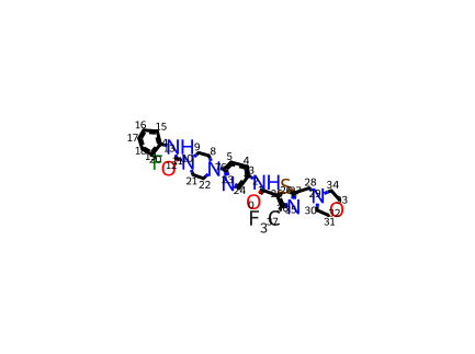 O=C(Nc1ccc(N2CCN(C(=O)Nc3ccccc3F)CC2)nc1)c1sc(CN2CCOCC2)nc1C(F)(F)F